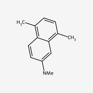 CNc1ccc2c(C)ccc(C)c2c1